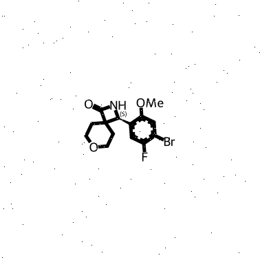 COc1cc(Br)c(F)cc1[C@@H]1NC(=O)C12CCOCC2